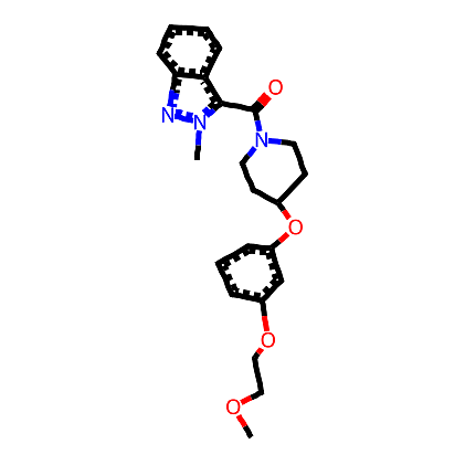 COCCOc1cccc(OC2CCN(C(=O)c3c4ccccc4nn3C)CC2)c1